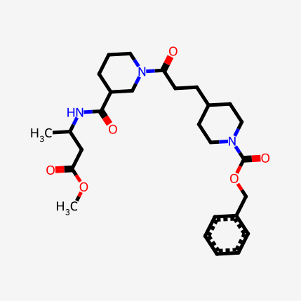 COC(=O)CC(C)NC(=O)C1CCCN(C(=O)CCC2CCN(C(=O)OCc3ccccc3)CC2)C1